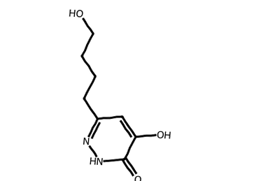 O=c1[nH]nc(CCCCO)cc1O